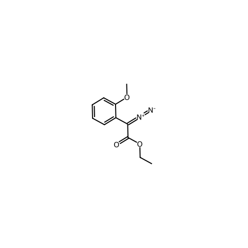 CCOC(=O)C(=[N+]=[N-])c1ccccc1OC